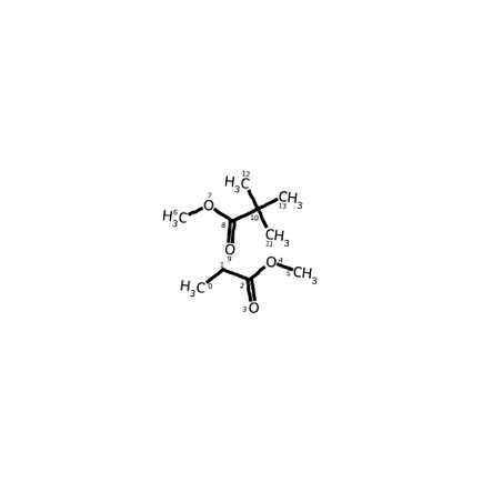 CCC(=O)OC.COC(=O)C(C)(C)C